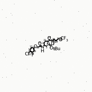 CC(C)(C)OC(=O)N1C[C@@H](NC(=O)COc2ccc(Cl)c(F)c2)CC[C@@H]1C(=O)NCCCOC(F)(F)F